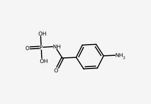 Nc1ccc(C(=O)NP(=O)(O)O)cc1